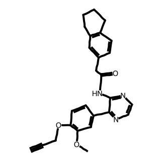 C#CCOc1ccc(-c2nccnc2NC(=O)Cc2ccc3c(c2)CCCC3)cc1OC